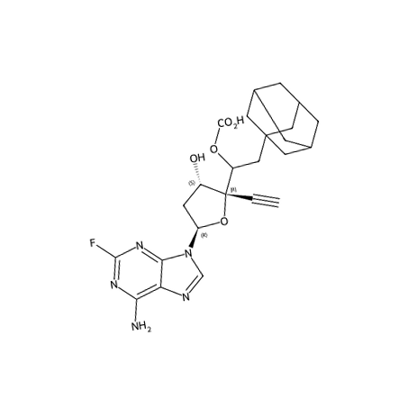 C#C[C@@]1(C(CC23CC4CC(CC(C4)C2)C3)OC(=O)O)O[C@@H](n2cnc3c(N)nc(F)nc32)C[C@@H]1O